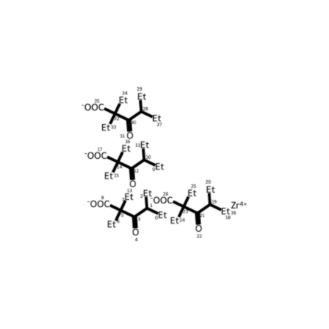 CCC(CC)C(=O)C(CC)(CC)C(=O)[O-].CCC(CC)C(=O)C(CC)(CC)C(=O)[O-].CCC(CC)C(=O)C(CC)(CC)C(=O)[O-].CCC(CC)C(=O)C(CC)(CC)C(=O)[O-].[Zr+4]